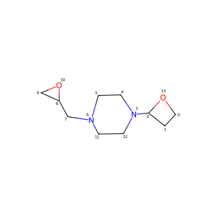 C1CC(N2CCN(CC3CO3)CC2)O1